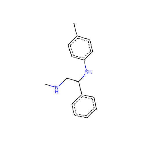 CNCC(Nc1ccc(C)cc1)c1ccccc1